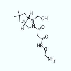 CC1(C)C[C@H]2CN(C(=O)CC(=O)BOCN)[C@H](CO)[C@H]2C1